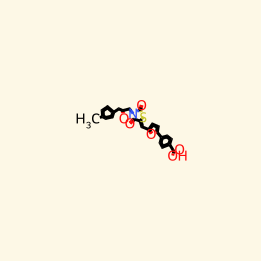 Cc1ccc(CC(=O)CN2C(=O)S/C(=C\c3ccc(-c4ccc(C(=O)O)cc4)o3)C2=O)cc1